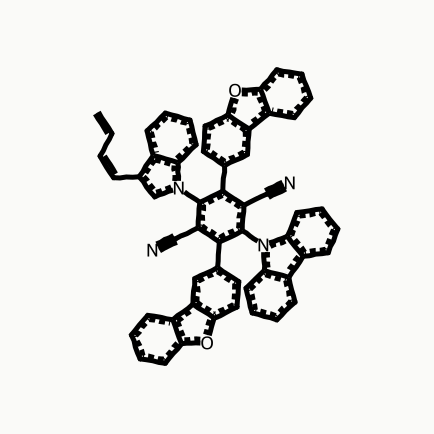 C=C/C=C\c1cn(-c2c(C#N)c(-c3ccc4oc5ccccc5c4c3)c(-n3c4ccccc4c4ccccc43)c(C#N)c2-c2ccc3oc4ccccc4c3c2)c2ccccc12